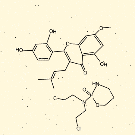 COc1cc(O)c2c(=O)c(CC=C(C)C)c(-c3ccc(O)cc3O)oc2c1.O=P1(N(CCCl)CCCl)NCCCO1